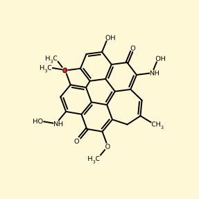 COc1c2c3c4c(c(NO)c(=O)c5c(O)cc(OC)c(c6c(OC)cc(NO)c(c1=O)c63)c54)C=C(C)C2